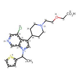 CC(c1cccs1)n1cc(C2CCN(CCOCC(=O)O)CC2)c2c(Cl)cncc21